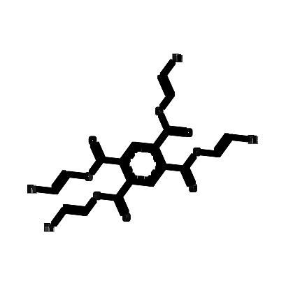 CCC=COC(=O)c1cc(C(=O)OC=CCC)c(C(=O)OC=CCC)cc1C(=O)OC=CCC